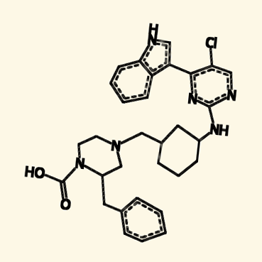 O=C(O)N1CCN(CC2CCCC(Nc3ncc(Cl)c(-c4c[nH]c5ccccc45)n3)C2)CC1Cc1ccccc1